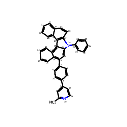 N#Cc1cc(-c2ccc(-c3cc4c(c5ccccc35)c3c5ccccc5ccc3n4-c3ccccc3)cc2)ccn1